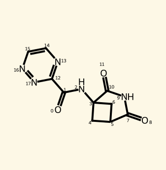 O=C(NC12CC(C1)C(=O)NC2=O)c1nccnn1